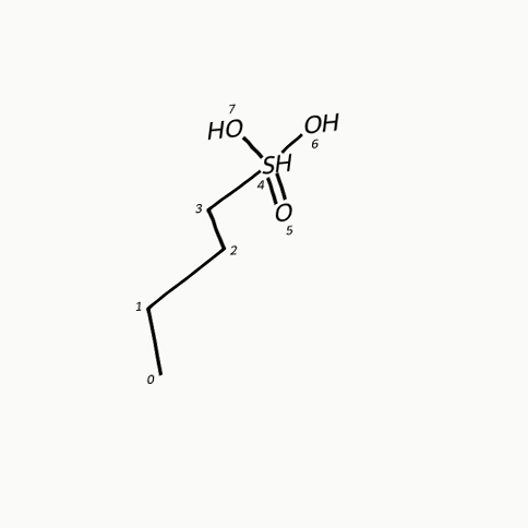 CCCC[SH](=O)(O)O